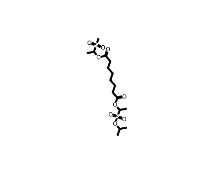 CC(C)OS(=O)(=O)C(C)OC(=O)CCCCCCC(=O)OC(C)S(C)(=O)=O